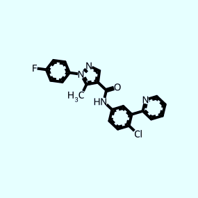 Cc1c(C(=O)Nc2ccc(Cl)c(-c3ccccn3)c2)cnn1-c1ccc(F)cc1